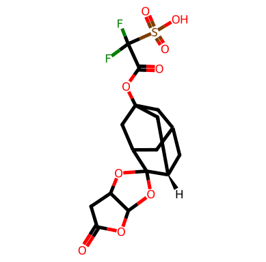 O=C1CC2OC3(OC2O1)C1CC2C[C@H]3CC(OC(=O)C(F)(F)S(=O)(=O)O)(C2)C1